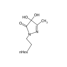 CCCCCCCCN1N=C(C)C(O)(O)C1=O